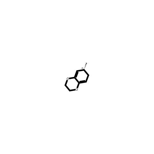 C[C@H]1C=C2OCCOC2=CC1